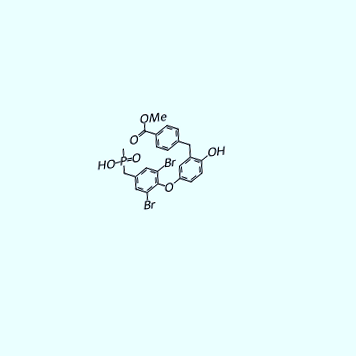 COC(=O)c1ccc(Cc2cc(Oc3c(Br)cc(CP(C)(=O)O)cc3Br)ccc2O)cc1